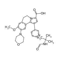 CC(C)(C)NC=O.COc1cc2c(cc1N1CCOCC1)-c1c(-c3cccnc3)cc(C(=O)O)n1CC2